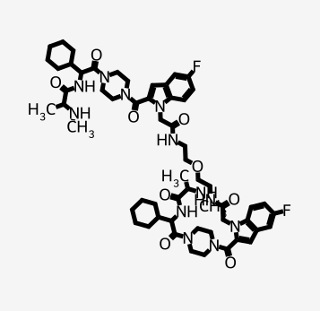 CNC(C)C(=O)NC(C(=O)N1CCN(C(=O)c2cc3cc(F)ccc3n2CC(=O)NCCOCCNC(=O)Cn2c(C(=O)N3CCN(C(=O)C(NC(=O)C(C)NC)C4CCCCC4)CC3)cc3cc(F)ccc32)CC1)C1CCCCC1